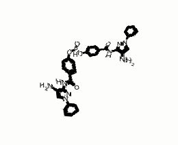 Nc1cn(-c2ccccc2)nc1NC(=O)c1ccc(O[PH](=O)Oc2ccc(C(=O)Nc3nn(-c4ccccc4)cc3N)cc2)cc1